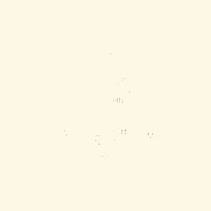 COc1cccc2c(C(=O)NCc3cccc(Cl)c3)cn(CCCNCCOc3ccccc3)c12